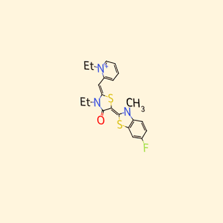 CCn1c(=O)/c(=C2\Sc3cc(F)ccc3N2C)s/c1=C\c1cccc[n+]1CC